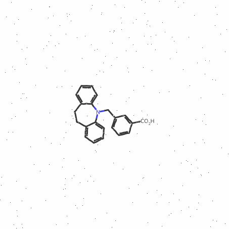 O=C(O)c1cccc(CN2c3ccccc3CCc3ccccc32)c1